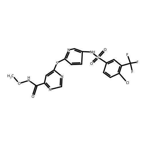 CONC(=O)c1cc(Sc2ccc(NS(=O)(=O)c3ccc(Cl)c(C(F)(F)F)c3)cn2)ncn1